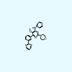 COc1c(Nc2ccncc2)nc(N2CCOCC2)nc1-c1cccc(-c2ncccn2)c1